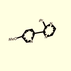 COc1ccc(-c2nccnc2C(C)C)nc1